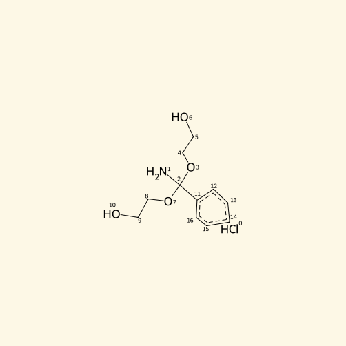 Cl.NC(OCCO)(OCCO)c1ccccc1